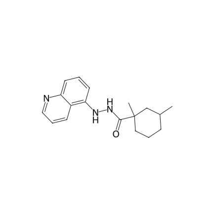 CC1CCCC(C)(C(=O)NNc2cccc3ncccc23)C1